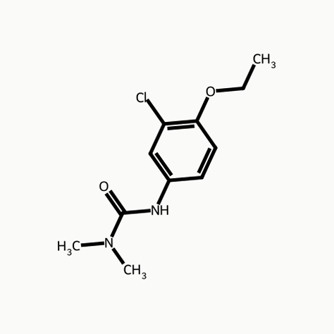 CCOc1ccc(NC(=O)N(C)C)cc1Cl